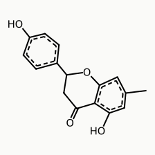 Cc1cc(O)c2c(c1)OC(c1ccc(O)cc1)CC2=O